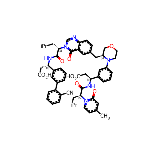 Cc1ccn([C@@H](CC(C)C)C(=O)N[C@@H](CC(=O)O)c2cccc(N3CCOC[C@@H]3Cc3ccc4ncn([C@@H](CC(C)C)C(=O)N[C@@H](CC(=O)O)c5cccc(-c6ccccc6C#N)c5)c(=O)c4c3)c2)c(=O)c1